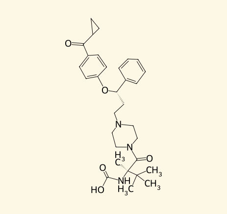 CC(C)(C)[C@@](C)(NC(=O)O)C(=O)N1CCN(CC[C@H](Oc2ccc(C(=O)C3CC3)cc2)c2ccccc2)CC1